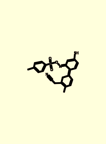 CC1=C(CC#N)CC(=C2C=CC(S)=CC2=NOS(=O)(=O)c2ccc(C)cc2)C=C1